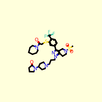 CS(=O)(=O)N1CCc2c(c(-c3ccc(C(F)(F)F)c(SCC(=O)N4CCCCCC4)c3)nn2CCCN2CCC(N3CCCC3=O)CC2)C1